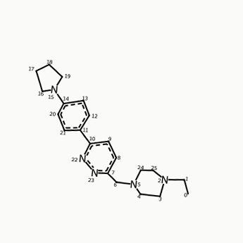 CCN1CCN(Cc2ccc(-c3ccc(N4CCCC4)cc3)nn2)CC1